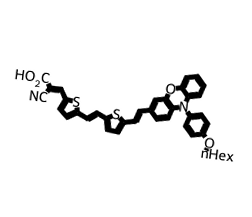 CCCCCCOc1ccc(N2c3ccccc3Oc3cc(/C=C/c4ccc(/C=C/c5ccc(/C=C(\C#N)C(=O)O)s5)s4)ccc32)cc1